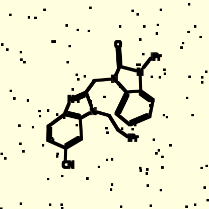 CC(C)CCn1c(Cn2c(=O)n(C(C)C)c3ccccc32)nc2ccc(C#N)cc21